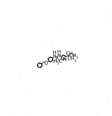 Cn1nc(C(C)(C)C)cc1NC(=O)Nc1ccc(OCc2ccccc2)cc1